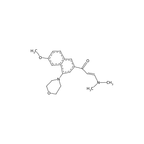 COc1ccc2cc(C(=O)C=CN(C)C)cc(N3CCOCC3)c2c1